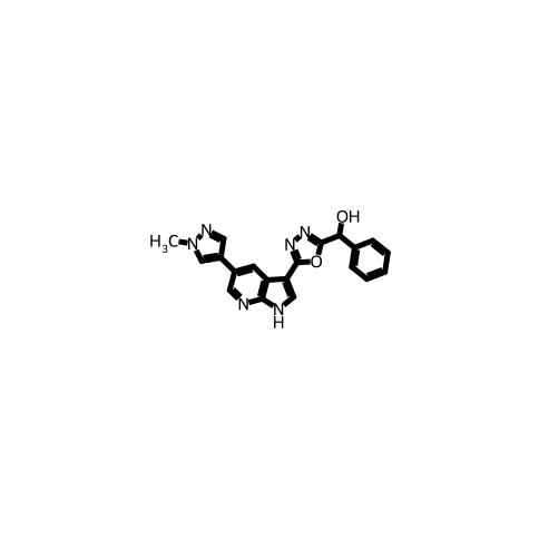 Cn1cc(-c2cnc3[nH]cc(-c4nnc(C(O)c5ccccc5)o4)c3c2)cn1